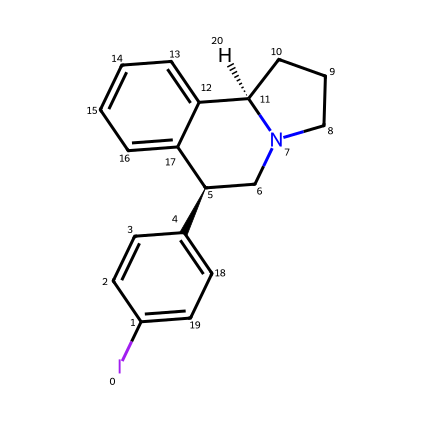 Ic1ccc([C@@H]2CN3CCC[C@@H]3c3ccccc32)cc1